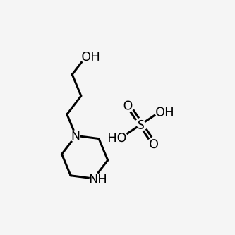 O=S(=O)(O)O.OCCCN1CCNCC1